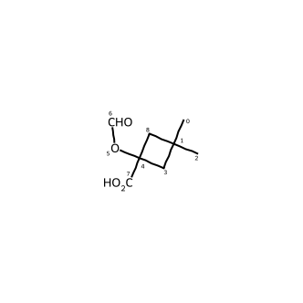 CC1(C)CC(OC=O)(C(=O)O)C1